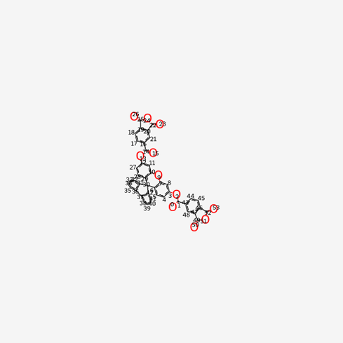 O=C(Oc1ccc2c(c1)Oc1cc(OC(=O)c3ccc4c(c3)C(=O)OC4=O)ccc1C21c2ccccc2-c2ccccc21)c1ccc2c(c1)C(=O)OC2=O